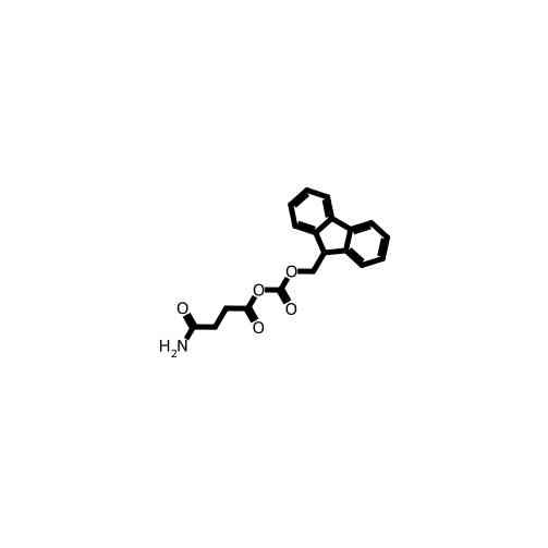 NC(=O)CCC(=O)OC(=O)OCC1c2ccccc2-c2ccccc21